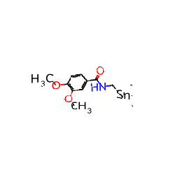 COc1ccc(C(=O)N[CH2][Sn])cc1OC